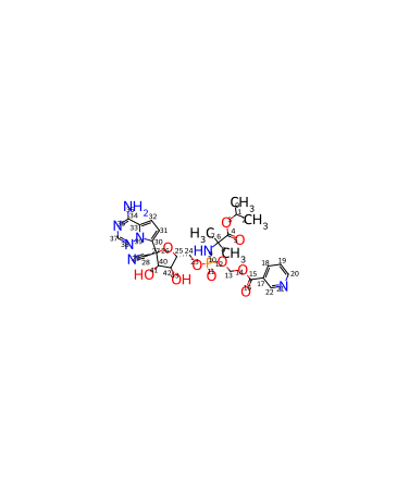 CC(C)OC(=O)C(C)(C)NP(=O)(OCOC(=O)c1cccnc1)OC[C@H]1O[C@@](C#N)(c2ccc3c(N)ncnn23)[C@H](O)[C@@H]1O